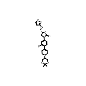 CC1(C)OCC(N2CC=C(c3ccc(N4C[C@H](COc5ccon5)OC4=O)cc3F)CC2)CO1